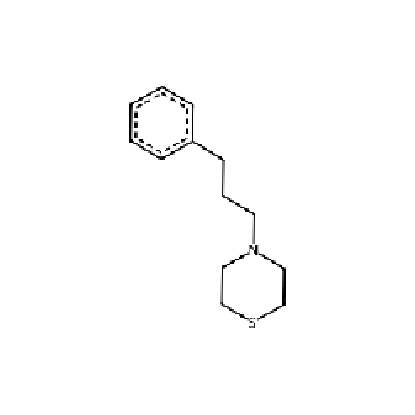 c1ccc(CCCN2CCSCC2)cc1